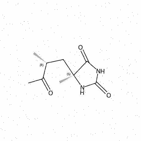 CC(=O)[C@H](C)C[C@]1(C)NC(=O)NC1=O